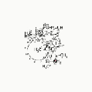 C=C(C)[C@@]12OC34CCCCCCC[C@@H](C)[C@@H]5[C@@H]6[C@]7(O[C@]5(C)OC7=O)[C@H](O)[C@@]5(CO)O[C@H]5[C@@H]([C@H]1O3)[C@]6(O4)[C@H](C)[C@@H]2OC(C)=O